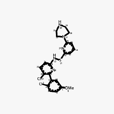 COc1ccc(Cl)c(-c2nc(NSc3cccc(N4CCNCC4)n3)ccc2Cl)c1